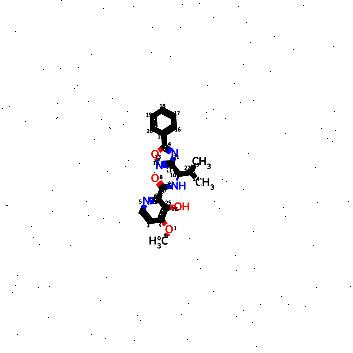 COc1ccnc(C(=O)N[C@H](c2noc(-c3ccccc3)n2)C(C)C)c1O